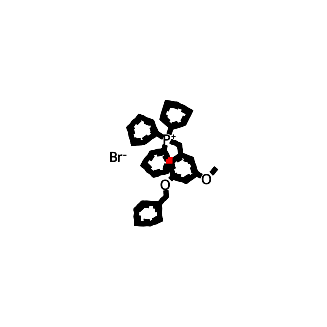 COc1cc(C[P+](c2ccccc2)(c2ccccc2)c2ccccc2)cc(OCc2ccccc2)c1.[Br-]